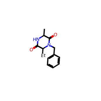 CCC1C(=O)NC(C)C(=O)N1Cc1ccccc1